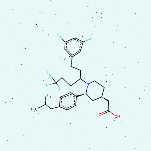 CC(C)Cc1ccc([C@@H]2C[C@H](CC(=O)O)CCN2[C@H](CCc2cc(F)cc(F)c2)CCC(F)(F)F)cc1